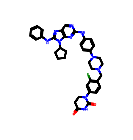 O=C1CCN(c2ccc(CN3CCN(c4ccc(Nc5ncc6nc(Nc7ccccc7)n(C7CCCC7)c6n5)cc4)CC3)c(F)c2)C(=O)N1